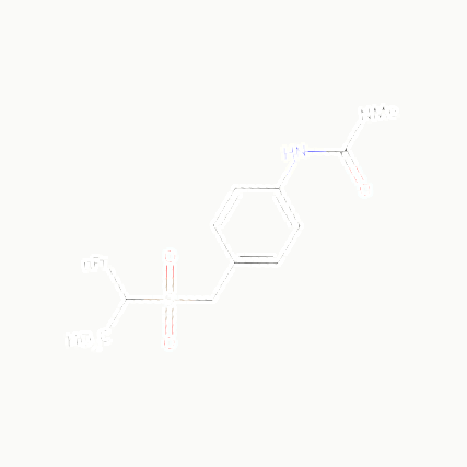 CCCC(C(=O)O)S(=O)(=O)Cc1ccc(NC(=O)NC)cc1